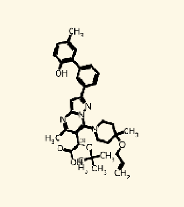 C=CCOC1(C)CCN(c2c([C@H](OC(C)(C)C)C(=O)O)c(C)nc3cc(-c4cccc(-c5cc(C)ccc5O)c4)nn23)CC1